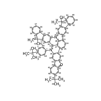 CC(C)(C)c1ccc(N2B3c4cc5c(cc4-n4c6cc7c(cc6c6ccc(c3c64)-c3cc4oc6cc(C(C)(C)C)ccc6c4cc32)-c2ccccc2C7(C)C)-c2ccccc2C5(C)C)cc1